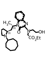 CCOC(=O)CN(CCO)c1nc2ccccc2n([C@@H](C)C[C@@H]2CCCN2C2CCCCCCC2)c1=O